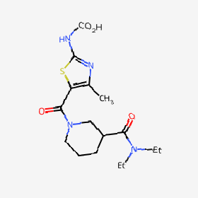 CCN(CC)C(=O)C1CCCN(C(=O)c2sc(NC(=O)O)nc2C)C1